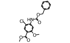 COC(=O)c1cc(Cl)c(NC(=O)OCc2ccccc2)cc1OC